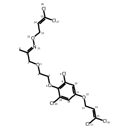 CC(COCCOc1c(Cl)cc(OCC=C(Cl)Cl)cc1Cl)=NOCC=C(Cl)Cl